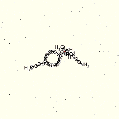 COCCOCCOCCOc1ccc2c(c1)OCCOCCOCCOCCOc1ccc(C(=O)NC(c3ccc(OCC(=O)NCCOCCOCCN)cc3)c3ccc(OC)cc3OC)cc1OCCOCCOCCOCCO2